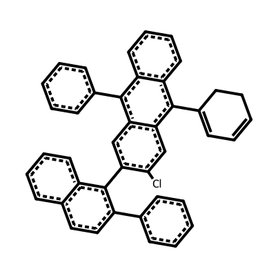 Clc1cc2c(C3=CC=CCC3)c3ccccc3c(-c3ccccc3)c2cc1-c1c(-c2ccccc2)ccc2ccccc12